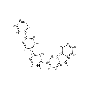 c1ccc(-c2ccc(-c3ccnc(-c4ccc5sc6ccccc6c5c4)n3)cc2)cc1